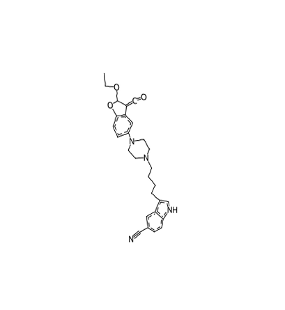 CCOC1Oc2ccc(N3CCN(CCCCc4c[nH]c5ccc(C#N)cc45)CC3)cc2C1=C=O